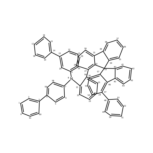 c1ccc(-c2ccc(N(c3cccc(-c4ccccc4)c3)c3ccccc3-c3cccc4c3C3(c5ccccc5-4)c4ccccc4-c4c(-c5ccccc5)cccc43)cc2)cc1